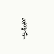 O[C@H](COc1cccc2[nH]ccc12)CN1CCC(c2ccc(F)cc2)CC1